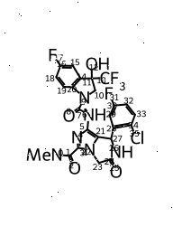 CNC(=O)c1nc(NC(=O)N2CC(O)(C(F)(F)F)c3cc(F)ccc32)c2n1CC(=O)NC2c1cc(F)ccc1Cl